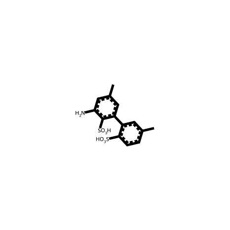 Cc1ccc(S(=O)(=O)O)c(-c2cc(C)cc(N)c2S(=O)(=O)O)c1